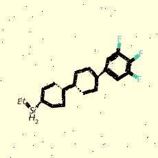 CC[SiH2][C@H]1CC[C@H]([C@H]2CC[C@H](c3cc(F)c(F)c(F)c3)CC2)CC1